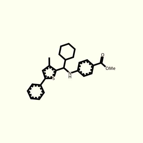 COC(=O)c1ccc(NC(c2sc(-c3ccccc3)cc2C)C2CCCCC2)cc1